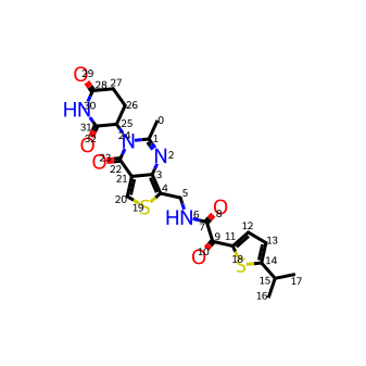 Cc1nc2c(CNC(=O)C(=O)c3ccc(C(C)C)s3)scc2c(=O)n1C1CCC(=O)NC1=O